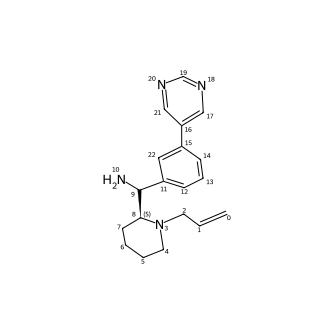 C=CCN1CCCC[C@H]1C(N)c1cccc(-c2cncnc2)c1